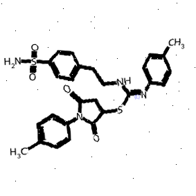 Cc1ccc(/N=C(\NCCc2ccc(S(N)(=O)=O)cc2)SC2CC(=O)N(c3ccc(C)cc3)C2=O)cc1